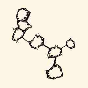 c1ccc(-c2nc(-c3ccccc3)nc(-c3cnc(-c4ncnc5c4sc4ccccc45)cn3)n2)cc1